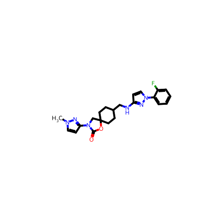 Cn1ccc(N2CC3(CCC(CNc4ccn(-c5ccccc5F)n4)CC3)OC2=O)n1